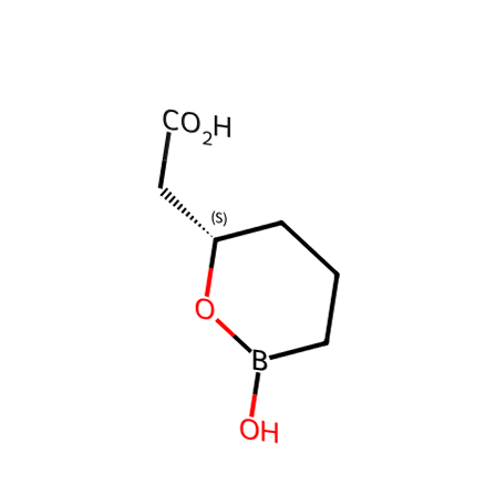 O=C(O)C[C@@H]1CCCB(O)O1